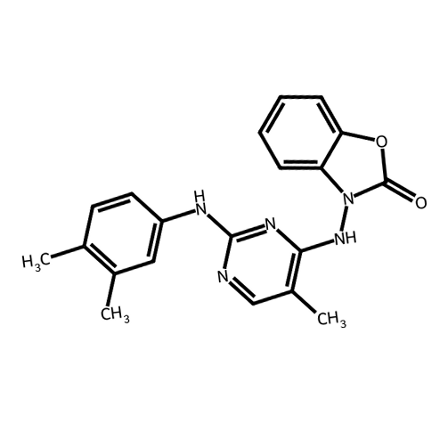 Cc1ccc(Nc2ncc(C)c(Nn3c(=O)oc4ccccc43)n2)cc1C